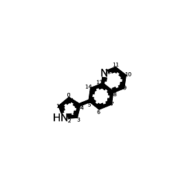 [c]1c[nH]cc1-c1ccc2cccnc2c1